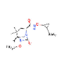 CNC1CC1ONC(=O)[C@@H]1CC(C)(C)[C@@H]2CN1C(=O)N2OS(=O)(=O)O